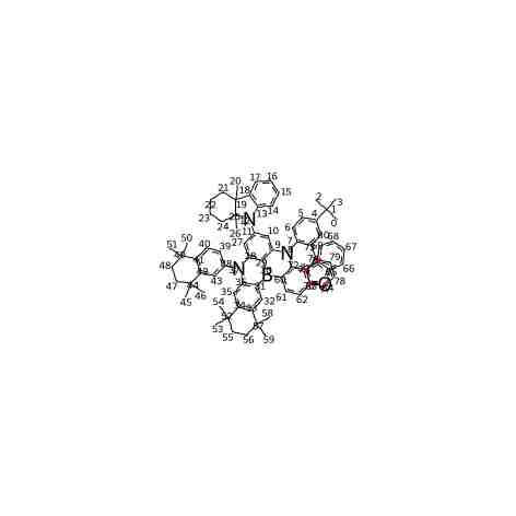 CC(C)(C)c1ccc(N2c3cc(N4c5ccccc5C5(C)CCCCC45C)cc4c3B(c3cc5c(cc3N4c3ccc4c(c3)C(C)(C)CCC4(C)C)C(C)(C)CCC5(C)C)c3ccc4oc5ccccc5c4c32)c(-c2ccccc2)c1